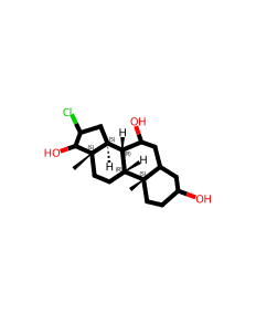 C[C@]12CCC(O)CC1CC(O)[C@@H]1[C@H]2CC[C@]2(C)C(O)C(Cl)C[C@@H]12